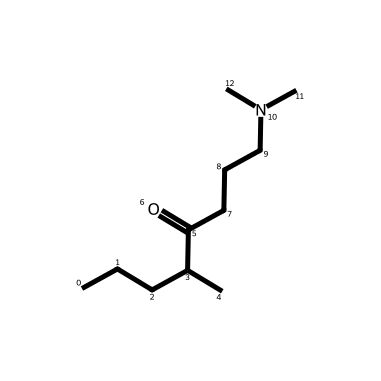 CCCC(C)C(=O)CCCN(C)C